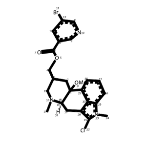 COC12CC(COC(=O)c3cncc(Br)c3)CN(C)[C@@H]1Cc1c(Cl)n(C)c3cccc2c13